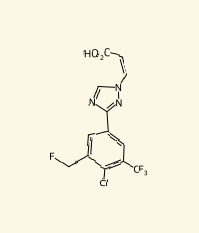 O=C(O)/C=C\n1cnc(-c2cc(CF)c(Cl)c(C(F)(F)F)c2)n1